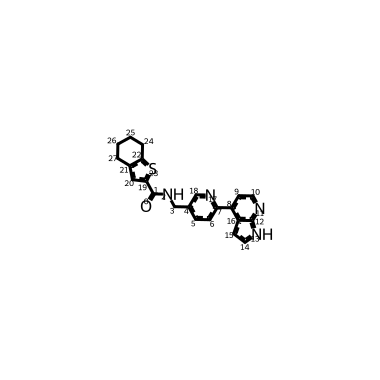 O=C(NCc1ccc(-c2ccnc3[nH]ccc23)nc1)c1cc2c(s1)CCCC2